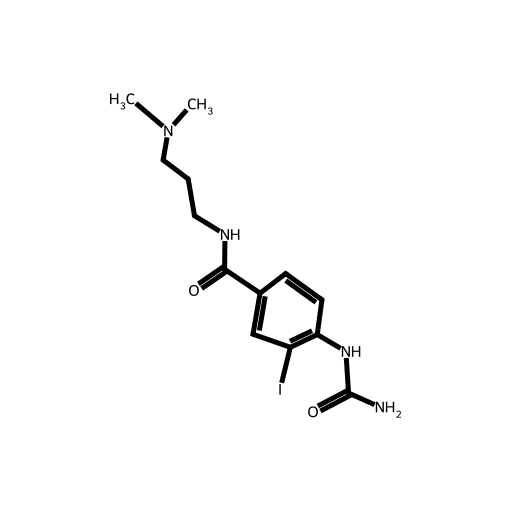 CN(C)CCCNC(=O)c1ccc(NC(N)=O)c(I)c1